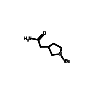 CC(C)(C)N1CCC(CC(N)=O)C1